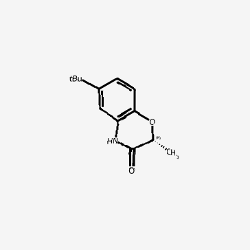 C[C@H]1Oc2ccc(C(C)(C)C)cc2NC1=O